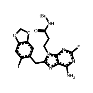 CC(C)(C)NC(=O)CCn1c(Cc2cc3c(cc2I)OCO3)nc2c(N)nc(F)nc21